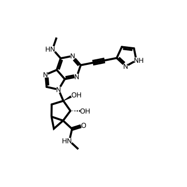 CNC(=O)C12CC1C[C@](O)(n1cnc3c(NC)nc(C#Cc4cc[nH]n4)nc31)[C@@H]2O